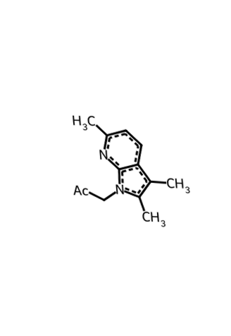 CC(=O)Cn1c(C)c(C)c2ccc(C)nc21